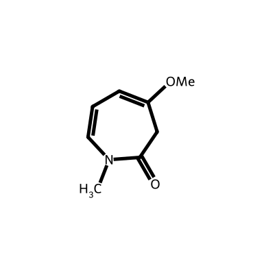 COC1=CC=CN(C)C(=O)C1